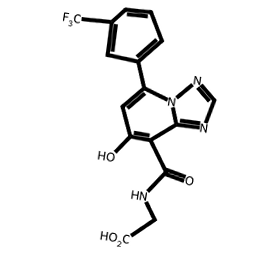 O=C(O)CNC(=O)c1c(O)cc(-c2cccc(C(F)(F)F)c2)n2ncnc12